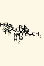 C=CC(=O)OC(OCCC(F)(F)S(=O)(=O)O)(C(N)=O)C(F)(F)F